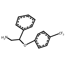 NCC(Oc1ccc(C(F)(F)F)cc1)c1ccccc1